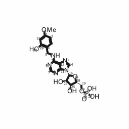 COc1ccc(CNc2ncnc3c2ncn3[C@@H]2O[C@H](COP(=O)(O)O)[C@@H](O)[C@H]2O)c(O)c1